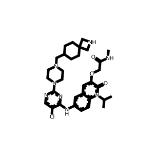 CNC(=O)COc1cc2cc(Nc3nc(N4CCN(CC5CCC6(CC5)CNC6)CC4)ncc3Cl)ccc2n(C(C)C)c1=O